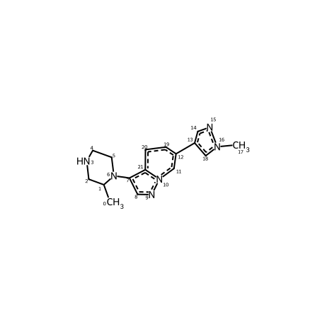 CC1CNCCN1c1cnn2cc(-c3cnn(C)c3)ccc12